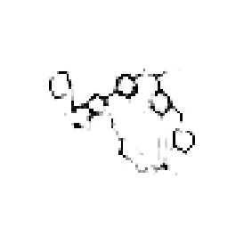 CC(Nc1ccc(-c2cc3c(N4CCOCC4)ncnc3n2COCC[Si](C)(C)C)cc1)c1cc(CN2CCC[C@@H](NC(=O)O)C2)ccn1